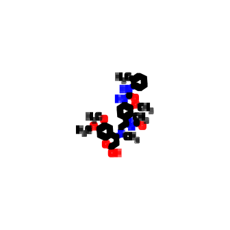 COc1cc(C(CN(C)C(CC(=O)O)c2ccc(OC)c(OC)c2)NC(C)=O)ccc1NC(=O)Nc1ccccc1C